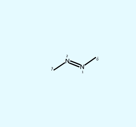 [CH2]/N=N/[CH2]